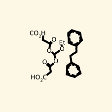 CCOC(OC(=O)CC(=O)O)OC(=O)CC(=O)O.c1ccc(CCc2ccccc2)cc1